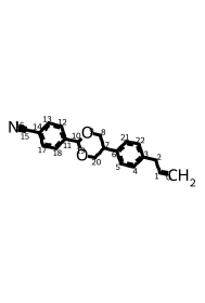 C=CCc1ccc(C2COC(c3ccc(C#N)cc3)OC2)cc1